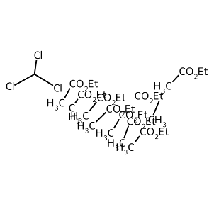 CCOC(C)=O.CCOC(C)=O.CCOC(C)=O.CCOC(C)=O.CCOC(C)=O.CCOC(C)=O.CCOC(C)=O.CCOC(C)=O.CCOC(C)=O.ClC(Cl)Cl